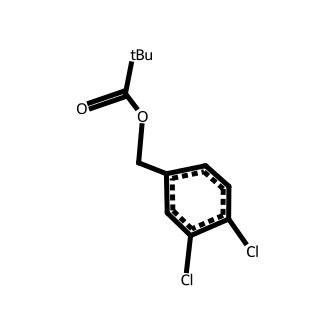 CC(C)(C)C(=O)OCc1ccc(Cl)c(Cl)c1